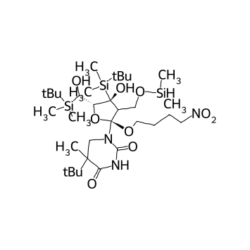 C[SiH](C)OCC1[C@](OCCCC[N+](=O)[O-])(N2CC(C)(C(C)(C)C)C(=O)NC2=O)O[C@H](C(O)[Si](C)(C)C(C)(C)C)[C@]1(O)[Si](C)(C)C(C)(C)C